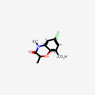 CCN1C(=O)C(C)Oc2c(C(=O)O)cc(Cl)cc21